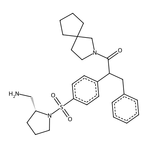 NC[C@H]1CCCN1S(=O)(=O)c1ccc(C(Cc2ccccc2)C(=O)N2CCC3(CCCC3)C2)cc1